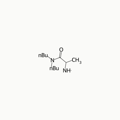 CCCCN(CCCC)C(=O)C(C)[NH]